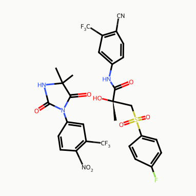 CC1(C)NC(=O)N(c2ccc([N+](=O)[O-])c(C(F)(F)F)c2)C1=O.C[C@](O)(CS(=O)(=O)c1ccc(F)cc1)C(=O)Nc1ccc(C#N)c(C(F)(F)F)c1